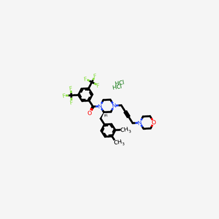 Cc1ccc(C[C@@H]2CN(CC#CCN3CCOCC3)CCN2C(=O)c2cc(C(F)(F)F)cc(C(F)(F)F)c2)cc1C.Cl.Cl